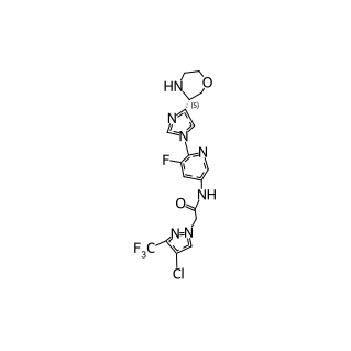 O=C(Cn1cc(Cl)c(C(F)(F)F)n1)Nc1cnc(-n2cnc([C@H]3COCCN3)c2)c(F)c1